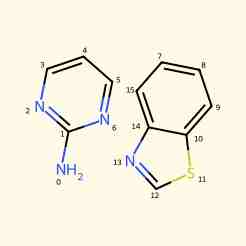 Nc1ncccn1.c1ccc2scnc2c1